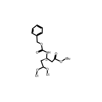 CCOC(C[C@H](CC(=O)OC(C)(C)C)NC(=O)OCc1ccccc1)OCC